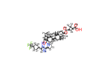 C=C(C)[C@@H]1CC[C@]2(C(=O)N3CCC[C@H]3c3ncc(-c4ccc(C(F)(F)F)cc4)[nH]3)CC[C@]3(C)[C@H](CC[C@@H]4[C@@]5(C)CC[C@H](OC(=O)[C@H]6C[C@@H](C(=O)O)C6(C)C)C(C)(C)[C@@H]5CC[C@]43C)[C@@H]12